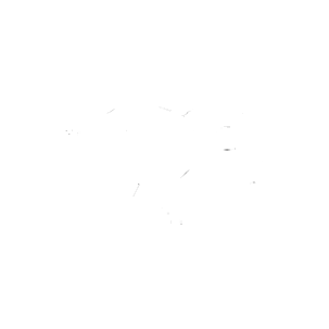 C=C1CCCC2OC(C=CC2OC)CC=CC(=O)OC(C(C=CC2CC(C)=CCO2)O[Si](C)(C)C(C)(C)C)CC=CC(O[Si](C)(C)C(C)(C)C)C1